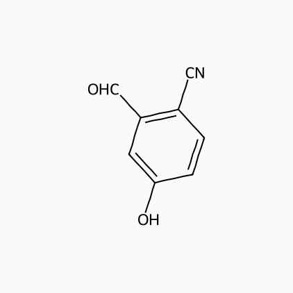 N#Cc1ccc(O)cc1C=O